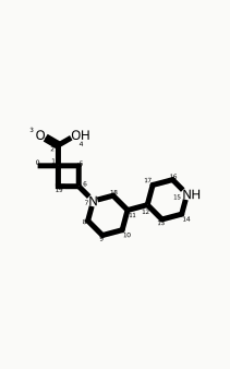 CC1(C(=O)O)CC(N2CCCC(C3CCNCC3)C2)C1